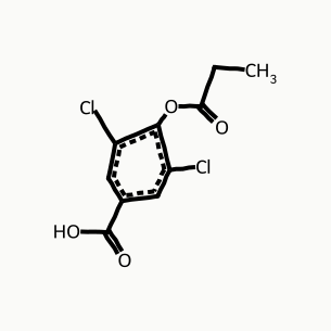 CCC(=O)Oc1c(Cl)cc(C(=O)O)cc1Cl